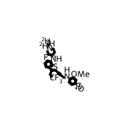 [2H]C([2H])([2H])N1CC[C@@H](Nc2cccc3c(CC(F)(F)F)c(C#CCNc4ccc(P(C)(C)=O)cc4OC)sc23)[C@@H](F)C1